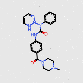 CN1CCN(C(=O)c2ccc(NC(=O)N(c3ccccc3)N3N=CC=CN3)cc2)CC1